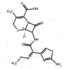 CO/N=C(\C(=O)NC1C(=O)N2C(C(=O)O)=C(C)CS[C@H]12)c1csc(N)n1